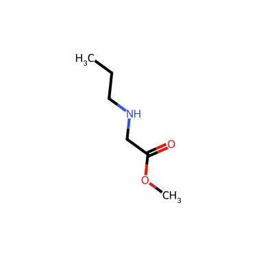 CCCNCC(=O)OC